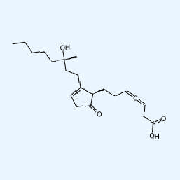 CCCCC[C@](C)(O)CCC1=CCC(=O)[C@@H]1CCC=C=CCC(=O)O